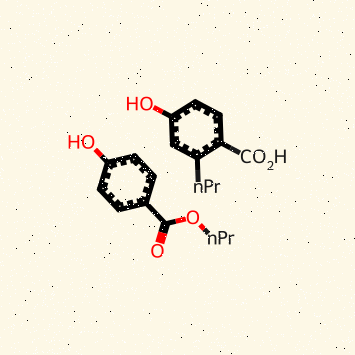 CCCOC(=O)c1ccc(O)cc1.CCCc1cc(O)ccc1C(=O)O